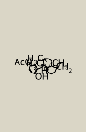 C=C1CCC[C@H]2[C@](C)(Cc3cc(OC(C)=O)ccc3O)[C@@H](C)CC[C@]12C